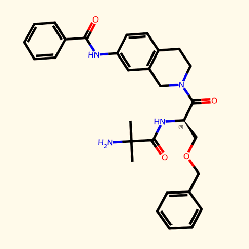 CC(C)(N)C(=O)N[C@H](COCc1ccccc1)C(=O)N1CCc2ccc(NC(=O)c3ccccc3)cc2C1